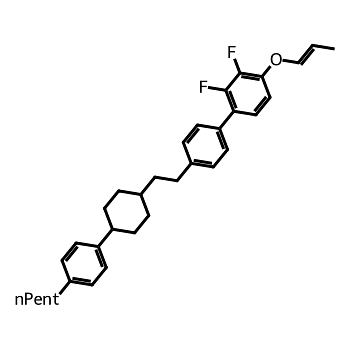 C/C=C/Oc1ccc(-c2ccc(CCC3CCC(c4ccc(CCCCC)cc4)CC3)cc2)c(F)c1F